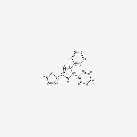 C1=NC(C2=NC(c3ccccc3)C(c3ccccc3)S2)CS1